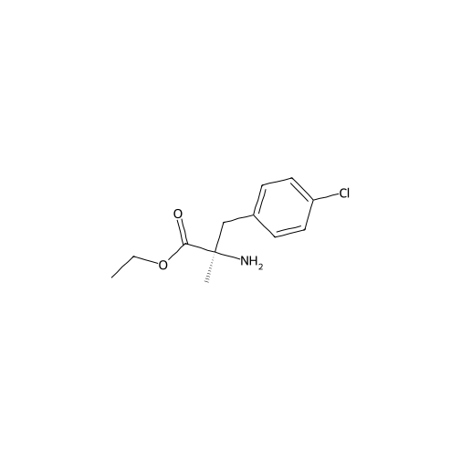 CCOC(=O)[C@](C)(N)Cc1ccc(Cl)cc1